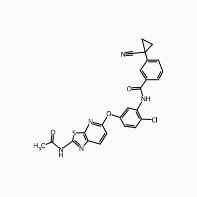 CC(=O)Nc1nc2ccc(Oc3ccc(Cl)c(NC(=O)c4cccc(C5(C#N)CC5)c4)c3)nc2s1